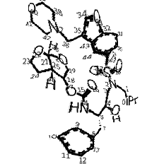 CC(C)CN(C[C@@H](O)[C@H](Cc1ccccc1)NC(=O)OC1CO[C@H]2OCC[C@@H]12)S(=O)(=O)c1ccc2occ(CN3CCOCC3)c2c1